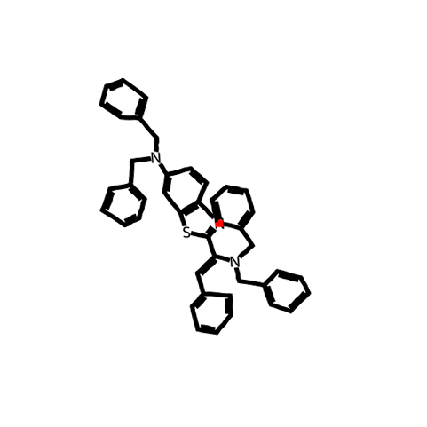 C(=C(c1nc2ccc(N(Cc3ccccc3)Cc3ccccc3)cc2s1)N(Cc1ccccc1)Cc1ccccc1)c1ccccc1